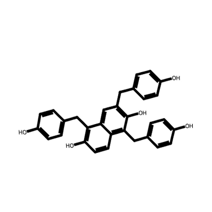 Oc1ccc(Cc2cc3c(Cc4ccc(O)cc4)c(O)ccc3c(Cc3ccc(O)cc3)c2O)cc1